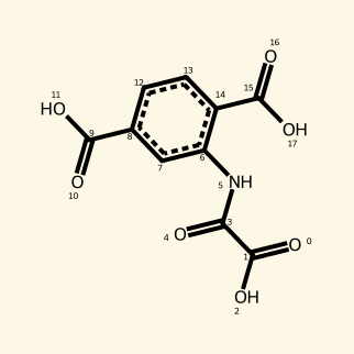 O=C(O)C(=O)Nc1cc(C(=O)O)ccc1C(=O)O